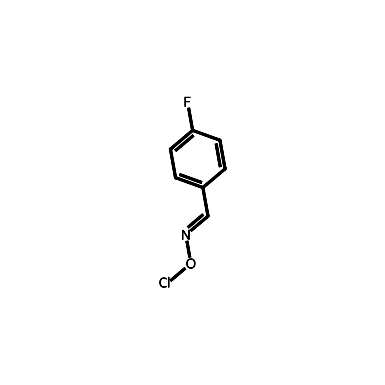 Fc1ccc(C=NOCl)cc1